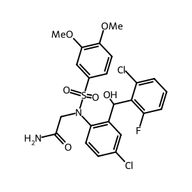 COc1ccc(S(=O)(=O)N(CC(N)=O)c2ccc(Cl)cc2C(O)c2c(F)cccc2Cl)cc1OC